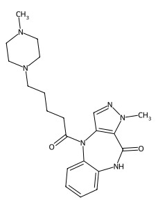 CN1CCN(CCCCC(=O)N2c3ccccc3NC(=O)c3c2cnn3C)CC1